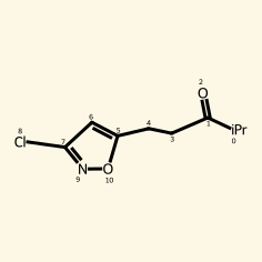 CC(C)C(=O)CCc1cc(Cl)no1